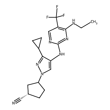 CCNc1nc(Nc2cn(C3CC[C@H](C#N)C3)nc2C2CC2)ncc1C(F)(F)F